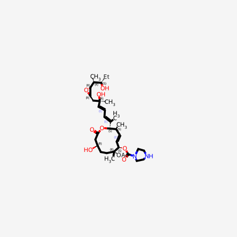 CC[C@H](O)[C@@H](C)[C@H]1O[C@@H]1C[C@@](C)(O)/C=C/C=C(\C)[C@H]1OC(=O)C[C@H](O)CC[C@@](C)(OC(C)=O)[C@@H](OC(=O)N2CCNCC2)/C=C/[C@@H]1C